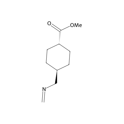 C=NC[C@H]1CC[C@H](C(=O)OC)CC1